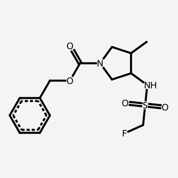 CC1CN(C(=O)OCc2ccccc2)CC1NS(=O)(=O)CF